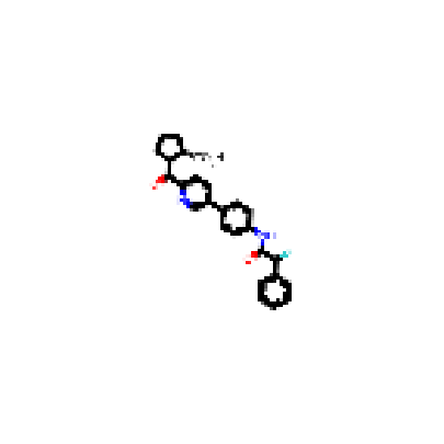 O=C(Nc1ccc(-c2ccc(C(=O)C3CCCC3C(=O)O)nc2)cc1)C(F)c1ccccc1